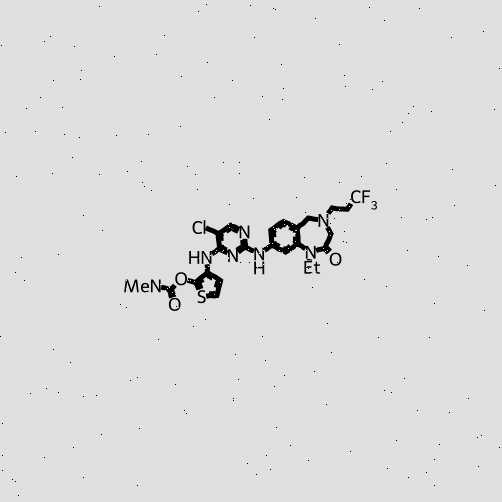 CCN1C(=O)CN(CCC(F)(F)F)Cc2ccc(Nc3ncc(Cl)c(Nc4ccsc4OC(=O)NC)n3)cc21